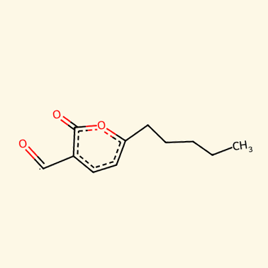 CCCCCc1ccc([C]=O)c(=O)o1